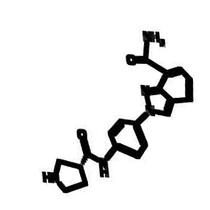 NC(=O)c1cccc2cn(-c3ccc(NC(=O)[C@@H]4CCNC4)cc3)nc12